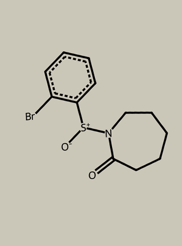 O=C1CCCCCN1[S+]([O-])c1ccccc1Br